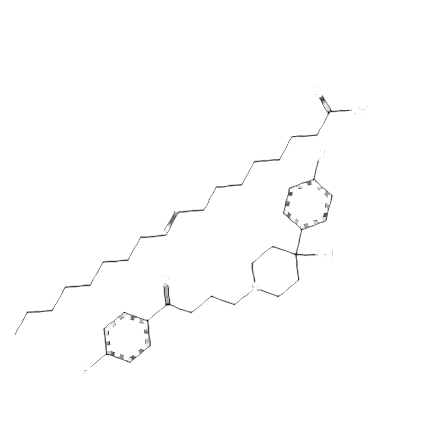 CCCCCCCCC=CCCCCCCCC(=O)O.O=C(CCCN1CCC(O)(c2ccc(Cl)cc2)CC1)c1ccc(F)cc1